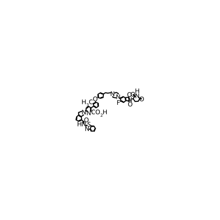 Cc1c(Oc2ccc(CCCN3CCN(c4cc5c(cc4F)C(=O)N(C4CCC(=O)NC4=O)C5=O)CC3)cc2)cccc1-c1ccc(N2CCc3cccc(C(=O)Nc4nc5ccccc5s4)c3C2)nc1C(=O)O